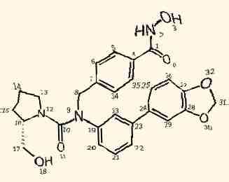 O=C(NO)c1ccc(CN(C(=O)N2CCC[C@H]2CO)c2cccc(-c3ccc4c(c3)OCO4)c2)cc1